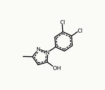 Cc1cc(O)n(-c2ccc(Cl)c(Cl)c2)n1